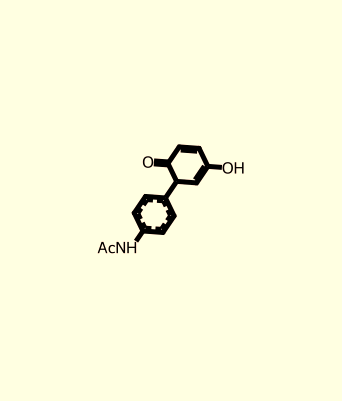 CC(=O)Nc1ccc(C2C=C(O)C=CC2=O)cc1